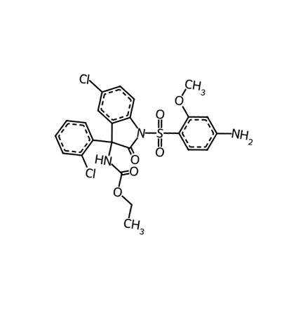 CCOC(=O)NC1(c2ccccc2Cl)C(=O)N(S(=O)(=O)c2ccc(N)cc2OC)c2ccc(Cl)cc21